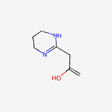 C=C(O)CC1=NCCCN1